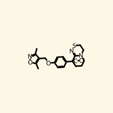 Cc1noc(C)c1COc1ccc(C23CCC(CC2)N2CCSN=C23)cc1